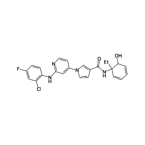 CCC1(NC(=O)c2ccn(-c3ccnc(Nc4ccc(F)cc4Cl)c3)c2)C=CC=CC1O